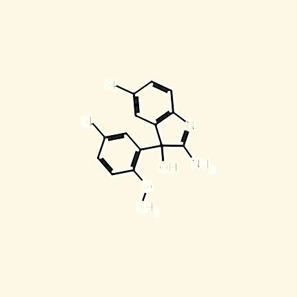 COc1ccc(Cl)cc1C1(O)C(N)=Nc2ccc(Cl)cc21